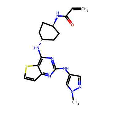 C=CC(=O)N[C@H]1CC[C@H](Nc2nc(Nc3cnn(C)c3)nc3ccsc23)CC1